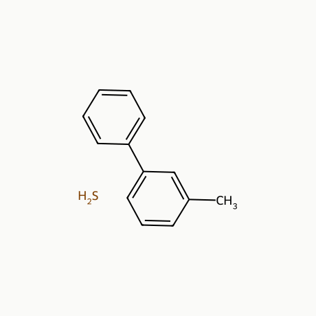 Cc1cccc(-c2ccccc2)c1.S